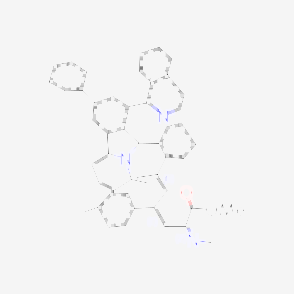 C/N=C(/C=C(\C=C(/C)c1ccccc1C1c2c(cc(-c3ccccc3)cc2-c2nccc3ccccc23)C2=CC=CC(C)N21)c1ccc(C)cc1)C(=O)OC